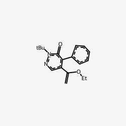 C=C(OCC)c1cnn(C(C)(C)C)c(=O)c1-c1ccccc1